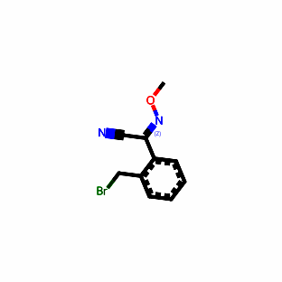 CO/N=C(\C#N)c1ccccc1CBr